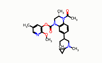 CCC(CN(C)C1CC1)c1ccc2c(c1)N(C(=O)Oc1cc(C)cnc1OC)C[C@H](C)N2C(C)=O